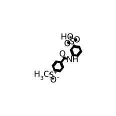 C[S+]([O-])c1ccc(C(=O)Nc2cccc(S(=O)(=O)O)c2)cc1